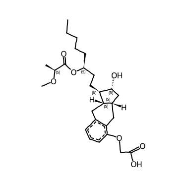 CCCCC[C@@H](CC[C@@H]1[C@H]2Cc3cccc(OCC(=O)O)c3C[C@H]2C[C@H]1O)OC(=O)[C@H](C)OC